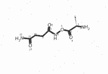 C[C@H](N)C(=O)ONC(=O)CCC(N)=O